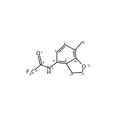 Cc1ccc(NC(=O)C(F)(F)F)c2c1OCC2